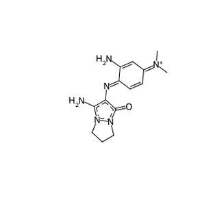 C[N+](C)=C1C=C/C(=N\c2c(N)n3n(c2=O)CCC3)C(N)=C1